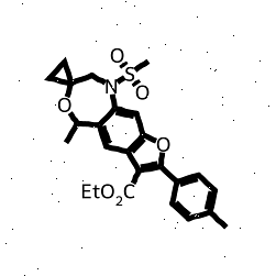 CCOC(=O)c1c(-c2ccc(C)cc2)oc2cc3c(cc12)C(C)OC1(CC1)CN3S(C)(=O)=O